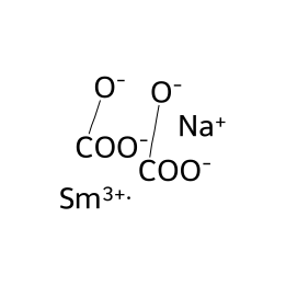 O=C([O-])[O-].O=C([O-])[O-].[Na+].[Sm+3]